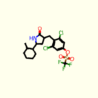 CC1CCCCC1C1CC(Cc2c(Cl)cc(OS(=O)(=O)C(F)(F)F)cc2Cl)C(=O)N1